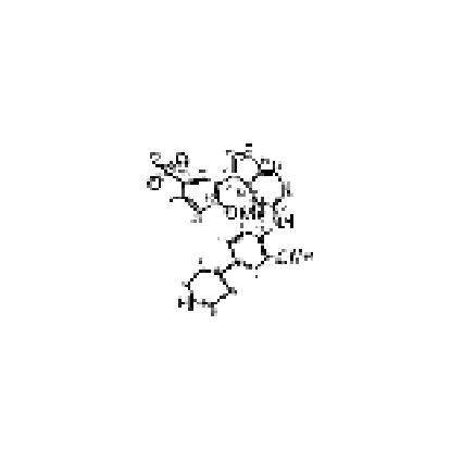 COc1cc(C2CCNCC2)ccc1Nc1ncc2scc(-c3cc(S(C)(=O)=O)ccc3OC)c2n1